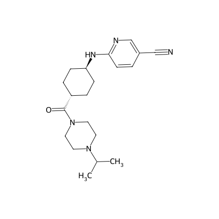 CC(C)N1CCN(C(=O)[C@H]2CC[C@H](Nc3ccc(C#N)cn3)CC2)CC1